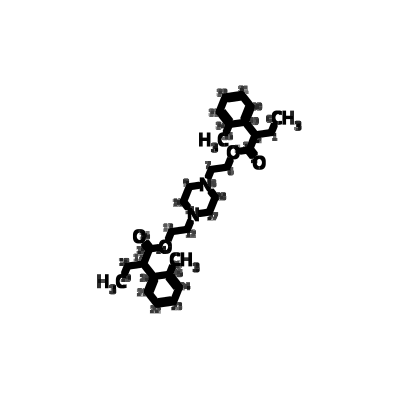 CCC(C(=O)OCCN1CCN(CCOC(=O)C(CC)c2ccccc2C)CC1)c1ccccc1C